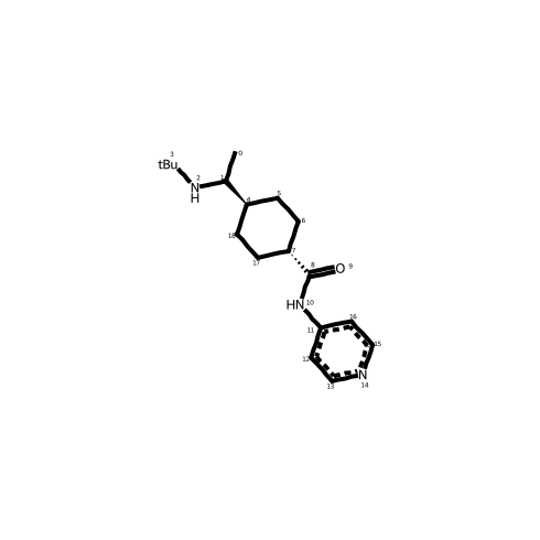 CC(NC(C)(C)C)[C@H]1CC[C@H](C(=O)Nc2ccncc2)CC1